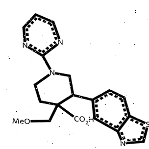 COCC1(C(=O)O)CCN(c2ncccn2)CC1c1ccc2scnc2c1